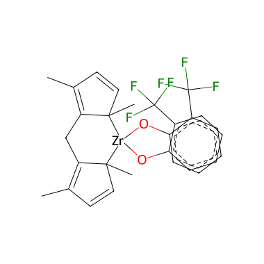 CC1=C2CC3=C(C)C=C[C]3(C)[Zr]([O]c3ccccc3C(F)(F)F)([O]c3ccccc3C(F)(F)F)[C]2(C)C=C1